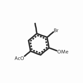 COc1cc(OC(C)=O)cc(C)c1Br